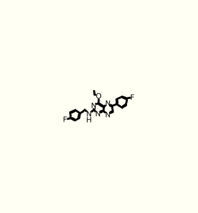 CCOc1nc(NCc2ccc(F)cc2)nc2ncc(-c3ccc(F)cc3)nc12